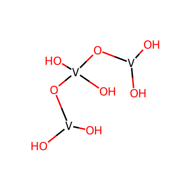 [OH][V]([OH])[O][V]([OH])([OH])[O][V]([OH])[OH]